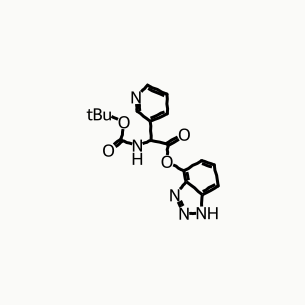 CC(C)(C)OC(=O)NC(C(=O)Oc1cccc2[nH]nnc12)c1cccnc1